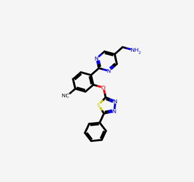 N#Cc1ccc(-c2ncc(CN)cn2)c(Oc2nnc(-c3ccccc3)s2)c1